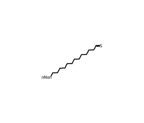 CCCCCCCCCCCCCCCCCCCCCC=S